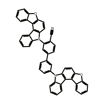 N#Cc1ccc(-c2cccc(-n3c4ccccc4c4c5c(ccc43)oc3ccccc35)c2)cc1-n1c2ccccc2c2c3c(ccc21)oc1ccccc13